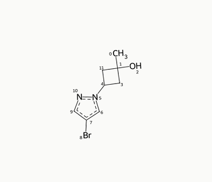 CC1(O)CC(n2cc(Br)cn2)C1